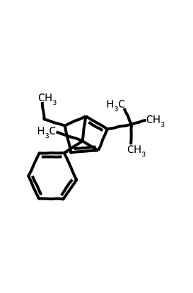 CCC1[C]=C2C(C(C)(C)C)=C1C2(C)c1ccccc1